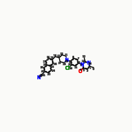 Cc1cc(=O)n(-c2ccc(N3CCC(Cc4ccc5cc(C#N)ccc5c4)CC3)c(Cl)c2)c(C)n1